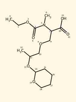 CCOC(=O)N(C)C(COCC(C)OC1CCCCO1)C(=O)O